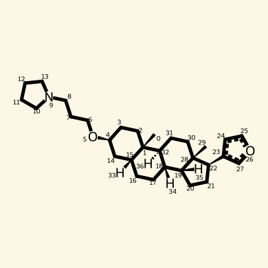 C[C@]12CC[C@H](OCCCN3CCCC3)C[C@H]1CC[C@H]1[C@H]3CC[C@H](c4ccoc4)[C@@]3(C)CC[C@@H]12